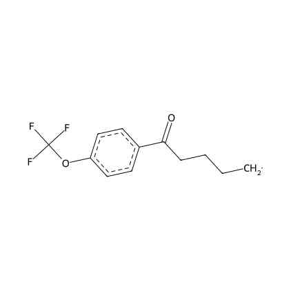 [CH2]CCCC(=O)c1ccc(OC(F)(F)F)cc1